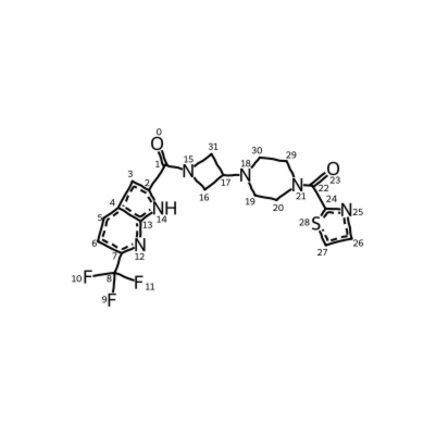 O=C(c1cc2ccc(C(F)(F)F)nc2[nH]1)N1CC(N2CCN(C(=O)c3nccs3)CC2)C1